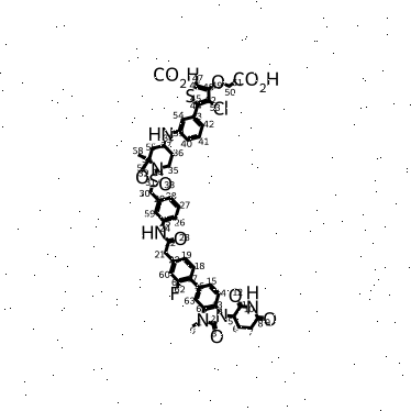 Cn1c(=O)n(C2CCC(=O)NC2=O)c2ccc(-c3ccc(CC(=O)Nc4cccc(CS(=O)(=O)N5CC[C@H](Nc6cccc(-c7sc(C(=O)O)c(OCC(=O)O)c7Cl)c6)CC5(C)C)c4)cc3F)cc21